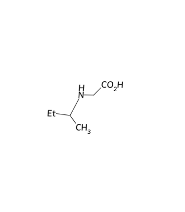 CCC(C)NCC(=O)O